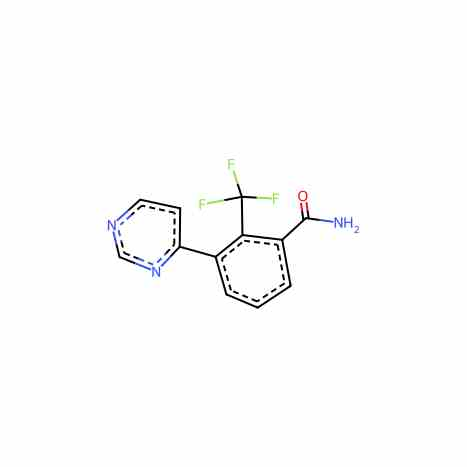 NC(=O)c1cccc(-c2ccncn2)c1C(F)(F)F